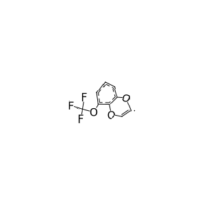 FC(F)(F)Oc1cccc2c1OC=[C]O2